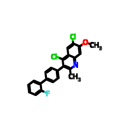 COc1cc2nc(C)c(-c3ccc(-c4ccccc4F)cc3)c(Cl)c2cc1Cl